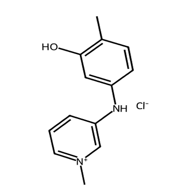 Cc1ccc(Nc2ccc[n+](C)c2)cc1O.[Cl-]